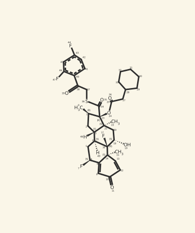 C[C@@H]1C[C@H]2[C@@H]3C[C@H](F)C4=CC(=O)C=C[C@]4(C)[C@@]3(F)[C@@H](O)C[C@]2(C)[C@@]1(OC(=O)CC1CCCCC1)C(=O)SCC(=O)c1ccc(F)cc1F